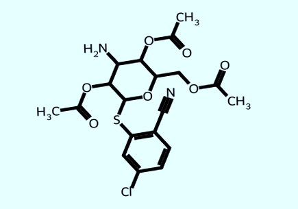 CC(=O)OCC1OC(Sc2cc(Cl)ccc2C#N)C(OC(C)=O)C(N)C1OC(C)=O